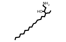 CCCCCCCCCCCCCCCC(CC)C(O)CCN